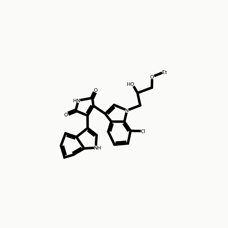 CCOCC(O)Cn1cc(C2=C(c3c[nH]c4ccccc34)C(=O)NC2=O)c2cccc(Cl)c21